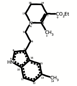 CCOC(=O)C1=C(C)N(CCc2c[nH]c3ccc(C)cc23)CCC1